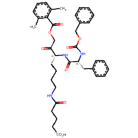 Cc1cccc(C)c1C(=O)OCC(=O)[C@@H](CCCCNC(=O)CCCC(=O)O)NC(=O)[C@@H](Cc1ccccc1)NC(=O)OCc1ccccc1